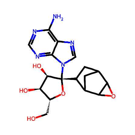 Nc1ncnc2c1ncn2[C@]1(C2CC3CC2C2OC32)O[C@H](CO)[C@@H](O)[C@H]1O